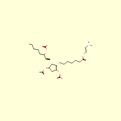 CCCCCC(C=C[C@H]1C(OC(C)=O)CC(OC(C)=O)[C@@H]1CCCCCCC(=O)SCCN(C)C)OC(C)=O